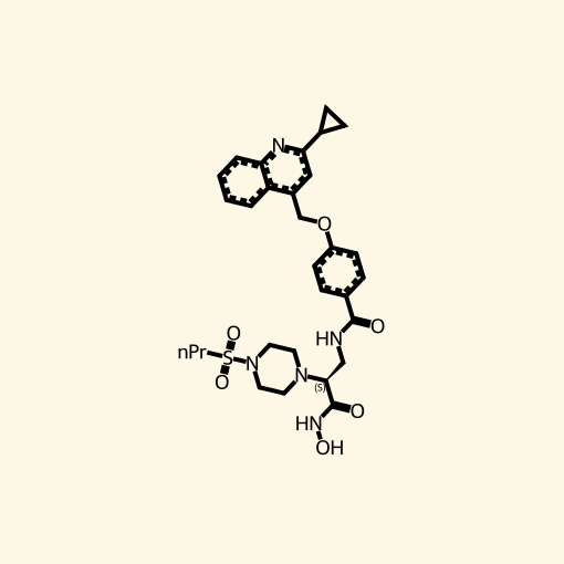 CCCS(=O)(=O)N1CCN([C@@H](CNC(=O)c2ccc(OCc3cc(C4CC4)nc4ccccc34)cc2)C(=O)NO)CC1